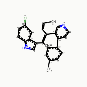 N#C/C=C\C(=C(C#N)c1c[nH]c2ccc(Cl)cc12)c1cnccc1-c1ccc(C(F)(F)F)cc1